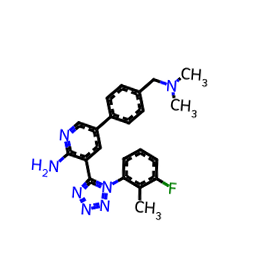 Cc1c(F)cccc1-n1nnnc1-c1cc(-c2ccc(CN(C)C)cc2)cnc1N